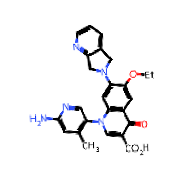 CCOc1cc2c(=O)c(C(=O)O)cn(-c3cnc(N)cc3C)c2cc1N1Cc2cccnc2C1